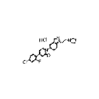 Cl.O=c1cc(-c2ccc(Cl)cc2F)ccn1-c1ccc2c(cnn2CCN2CCCC2)c1